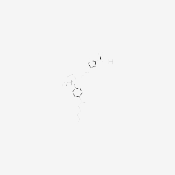 CCCCCC(F)c1ccc(N2C(=O)CC[C@@H]2COCc2csc(C(=O)O)c2)cc1